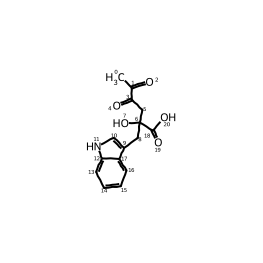 CC(=O)C(=O)CC(O)(Cc1c[nH]c2ccccc12)C(=O)O